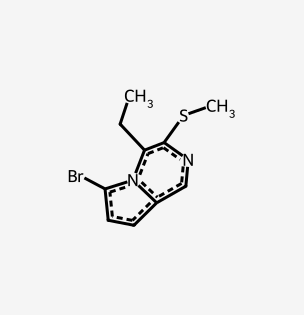 CCc1c(SC)ncc2ccc(Br)n12